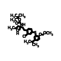 CCCC(CO)(CCc1ccc(Sc2cc(C(C)C)ccc2OCOC)cc1Cl)NC(=O)OC(C)(C)C